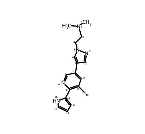 CN(C)CCn1cc(-c2cnc(-c3ccc[nH]3)c(I)c2)cn1